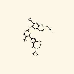 N#CCN1CCc2cc(Nc3ncc(C(F)(F)F)c(-c4cc5c(s4)C(=O)N(C4COC4)CCS5(O)O)n3)c(C3CC3)cc2C1